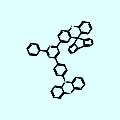 c1ccc(-c2nc(-c3ccc(N4c5ccccc5Sc5ccccc54)cc3)cc(-c3ccc4c(c3)C3(c5ccccc5O4)c4ccccc4-c4ccccc43)n2)cc1